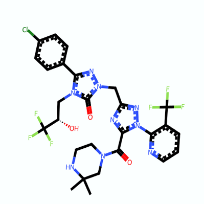 CC1(C)CN(C(=O)c2nc(Cn3nc(-c4ccc(Cl)cc4)n(C[C@H](O)C(F)(F)F)c3=O)nn2-c2ncccc2C(F)(F)F)CCN1